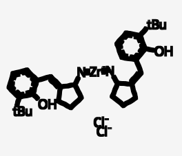 CC(C)(C)c1cccc(C=C2CCCC2[N]=[Zr+2]=[N]C2CCCC2=Cc2cccc(C(C)(C)C)c2O)c1O.[Cl-].[Cl-]